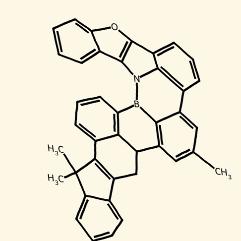 Cc1cc2c3c(c1)C1CC4=C(c5cccc(c51)B3n1c3c-2cccc3c2oc3ccccc3c21)C(C)(C)c1ccccc14